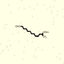 C=C(C/C=C\CCCCCCC[C]=O)CCCCCC